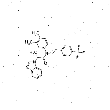 Cc1ccc(N(CCc2ccc(C(F)(F)F)cc2)C(=O)[C@@H](C)n2cnc3ccccc32)cc1C